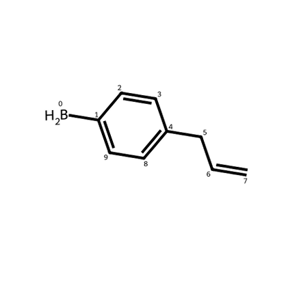 Bc1ccc(CC=C)cc1